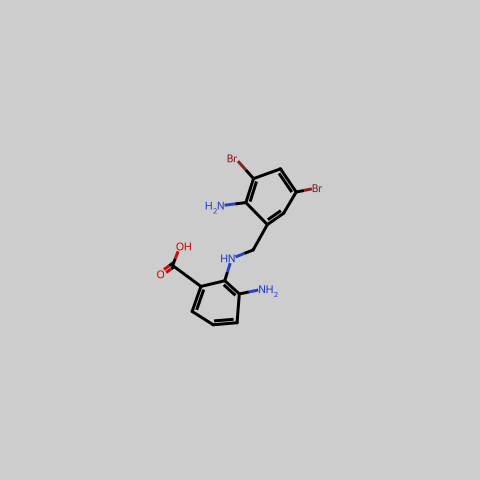 Nc1cccc(C(=O)O)c1NCc1cc(Br)cc(Br)c1N